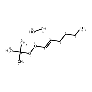 CCCCC=COOC(C)(C)C.OO